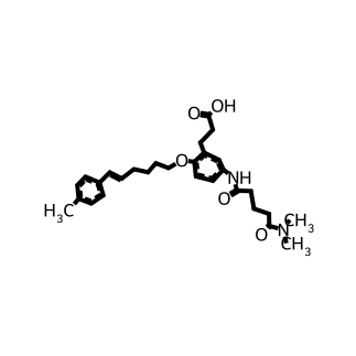 Cc1ccc(/C=C/CCCCOc2ccc(NC(=O)CCCC(=O)N(C)C)cc2CCC(=O)O)cc1